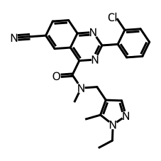 CCn1ncc(CN(C)C(=O)c2nc(-c3ccccc3Cl)nc3ccc(C#N)cc23)c1C